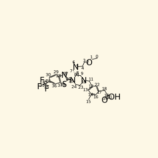 CCOCCN(C)C[C@@H]1CN(Cc2cc(C)cc(CC(=O)O)c2)CCN1c1nc2ccc(C(F)(F)F)cc2s1